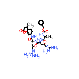 Cc1cc(=O)oc2cc(NC(=O)[C@H](CCCN=C(N)N)NC(=O)[C@H](CCCN=C(N)N)NC(=O)[C@H](C)NC(=O)OCc3ccccc3)ccc12